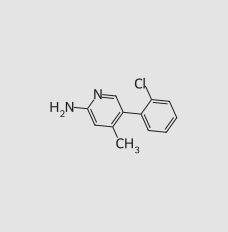 Cc1cc(N)ncc1-c1ccccc1Cl